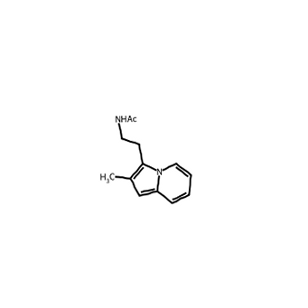 CC(=O)NCCc1c(C)cc2ccccn12